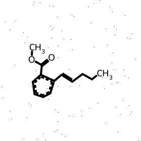 CCCC=Cc1ccccc1C(=O)OC